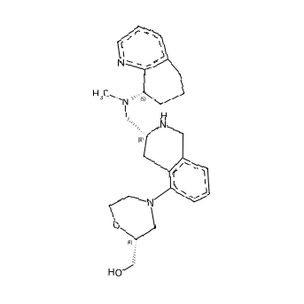 CN(C[C@H]1Cc2c(cccc2N2CCO[C@@H](CO)C2)CN1)[C@H]1CCCc2cccnc21